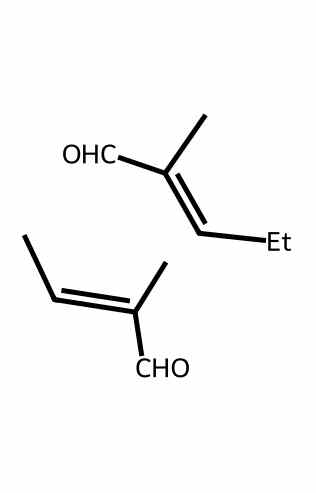 CC=C(C)C=O.CCC=C(C)C=O